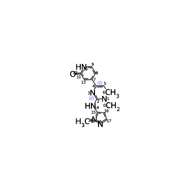 C=N/C(=N\C(=C/C)c1cc[nH]c(=O)c1)Nc1ccnn1C